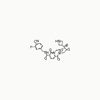 N#Cc1ccc(CNC(=O)c2ccc3n(c2=O)CCN(CC2(S(=O)(=O)C4CNC4)CC2)C3=O)cc1F